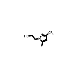 Cc1cc(C(F)(F)F)nn1CCO